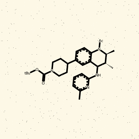 CC(=O)N1c2ccc(C3CCN(C(=O)OC(C)(C)C)CC3)cc2C(Nc2cccc(C)n2)[C@@H](C)[C@@H]1C